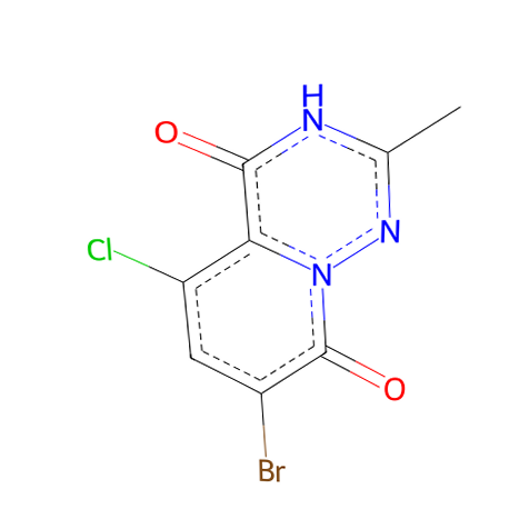 Cc1nn2c(=O)c(Br)cc(Cl)c2c(=O)[nH]1